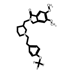 COc1cc2c(cc1OC)C(=O)N(CC1CCCN(CCc3ccc(OC(F)(F)F)cc3)C1)C2